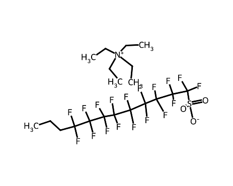 CCCC(F)(F)C(F)(F)C(F)(F)C(F)(F)C(F)(F)C(F)(F)C(F)(F)C(F)(F)C(F)(F)S(=O)(=O)[O-].CC[N+](CC)(CC)CC